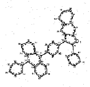 c1ccc(-c2oc3cc4ccccc4cc3c2-c2ccc(-c3c4ccccc4c(-c4ccccc4)c4ccccc34)cc2)cc1